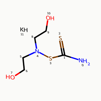 NC(=S)SN(CCO)CCO.[KH]